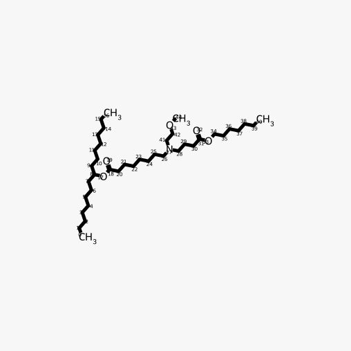 CCCCCCCCC(CCCCCCCC)OC(=O)CCCCCCCN(CCCC(=O)OCCCCCCC)CCOC